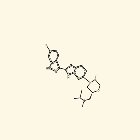 CC(C)N(C)C[C@H]1CN(c2ccc3nc(-c4n[nH]c5cc(F)ccc45)[nH]c3c2)[C@H](C)CO1